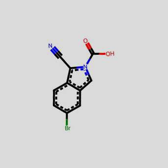 N#Cc1c2ccc(Br)cc2cn1C(=O)O